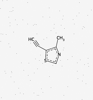 C#Cc1scnc1C